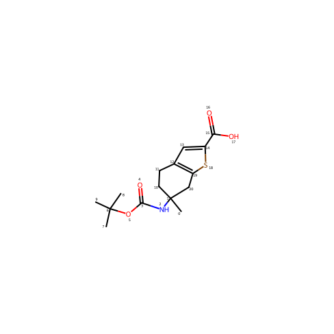 CC1(NC(=O)OC(C)(C)C)CCc2cc(C(=O)O)sc2C1